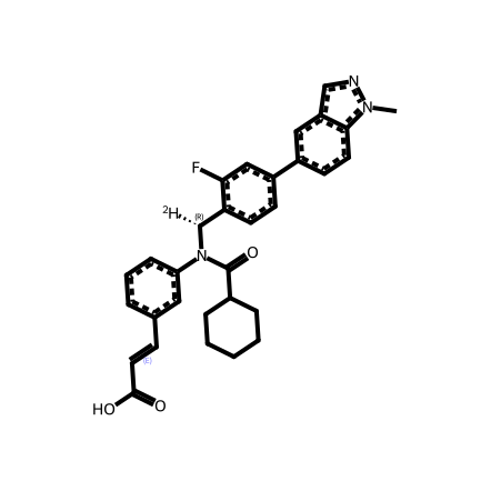 [2H][C@H](c1ccc(-c2ccc3c(cnn3C)c2)cc1F)N(C(=O)C1CCCCC1)c1cccc(/C=C/C(=O)O)c1